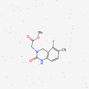 CC(C)(C)OC(=O)CN1Cc2c(ccc(C#N)c2F)NC1=O